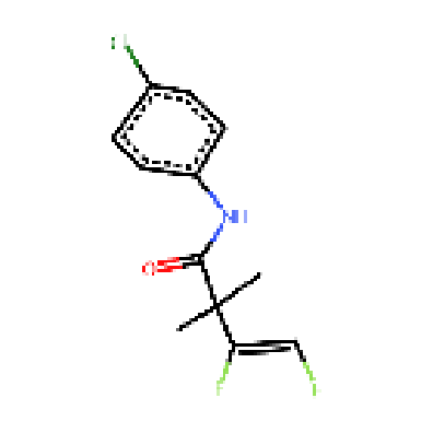 CC(C)(C(=O)Nc1ccc(Cl)cc1)C(F)=CF